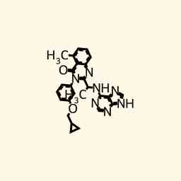 Cc1cccc2nc(C(C)Nc3ncnc4[nH]cnc34)n(-c3cccc(OCC4CC4)c3)c(=O)c12